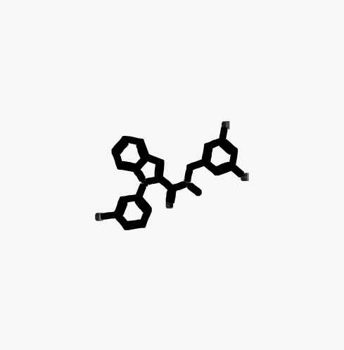 CN(Cc1cc(Cl)cc(Cl)c1)C(=O)c1cc2ccccc2n1-c1cccc(Cl)c1